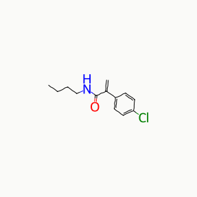 C=C(C(=O)NCCCC)c1ccc(Cl)cc1